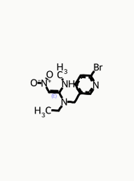 CCN(Cc1ccc(Br)nc1)/C(=C/[N+](=O)[O-])NC